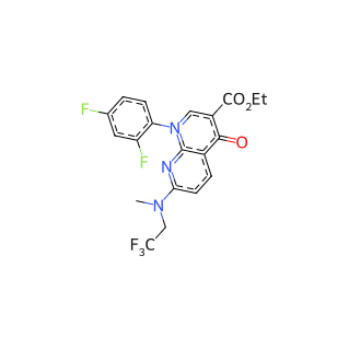 CCOC(=O)c1cn(-c2ccc(F)cc2F)c2nc(N(C)CC(F)(F)F)ccc2c1=O